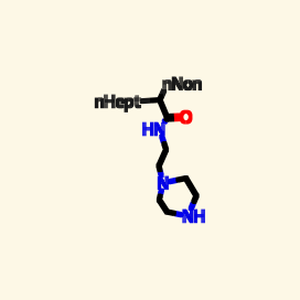 CCCCCCCCCC(CCCCCCC)C(=O)NCCN1CCNCC1